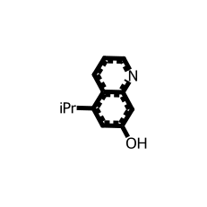 CC(C)c1cc(O)cc2ncccc12